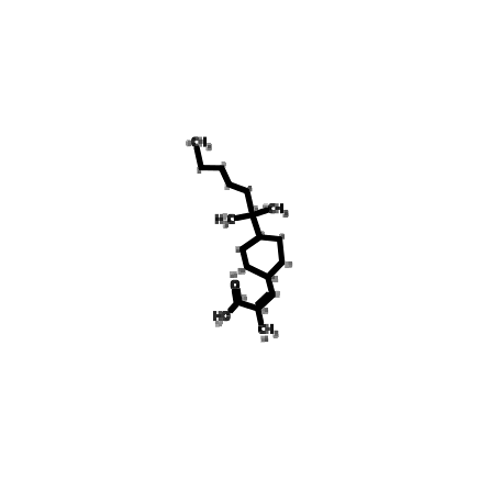 CCCCCC(C)(C)C1CCC(C=C(C)C(=O)O)CC1